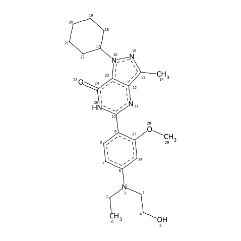 CCN(CCO)c1ccc(-c2nc3c(C)nn(C4CCCCC4)c3c(=O)[nH]2)c(OC)c1